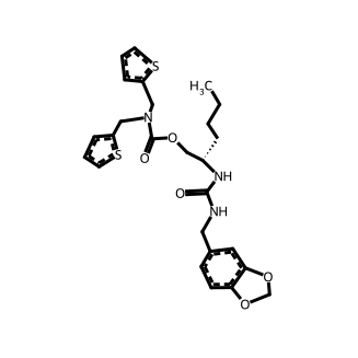 CCCC[C@@H](COC(=O)N(Cc1cccs1)Cc1cccs1)NC(=O)NCc1ccc2c(c1)OCO2